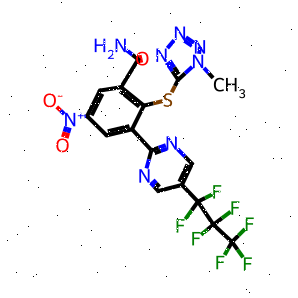 Cn1nnnc1Sc1c(C(N)=O)cc([N+](=O)[O-])cc1-c1ncc(C(F)(F)C(F)(F)C(F)(F)F)cn1